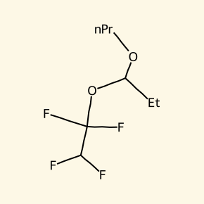 CCCOC(CC)OC(F)(F)C(F)F